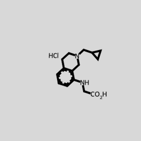 Cl.O=C(O)CNc1cccc2c1CN(CC1CC1)CC2